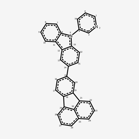 c1cncc(-n2c3ccccc3c3cc(-c4ccc5c(c4)-c4cccc6cccc-5c46)ccc32)c1